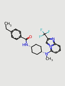 CCc1ccc(C(=O)N[C@H]2CC[C@@H](N(C)c3cccc4nc(C(F)(F)F)cn34)CC2)cc1